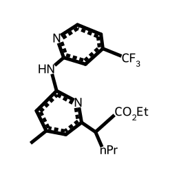 CCCC(C(=O)OCC)c1cc(C)cc(Nc2cc(C(F)(F)F)ccn2)n1